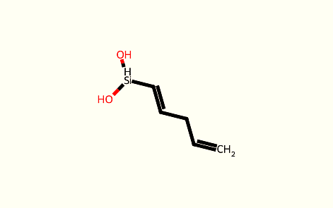 C=CCC=C[SiH](O)O